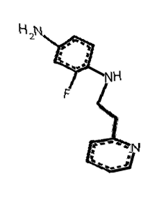 Nc1ccc(NCCc2ccccn2)c(F)c1